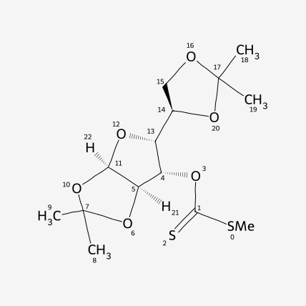 CSC(=S)O[C@@H]1[C@H]2OC(C)(C)O[C@H]2O[C@@H]1[C@H]1COC(C)(C)O1